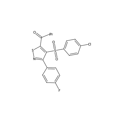 CC(C)C(=O)c1snc(-c2ccc(F)cc2)c1S(=O)(=O)c1ccc(Cl)cc1